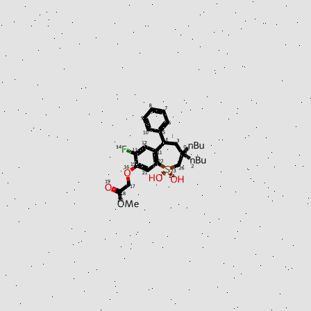 CCCCC1(CCCC)CC(c2ccccc2)c2cc(F)c(OCC(=O)OC)cc2S(O)(O)C1